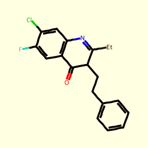 CCC1=Nc2cc(Cl)c(F)cc2C(=O)C1CCc1ccccc1